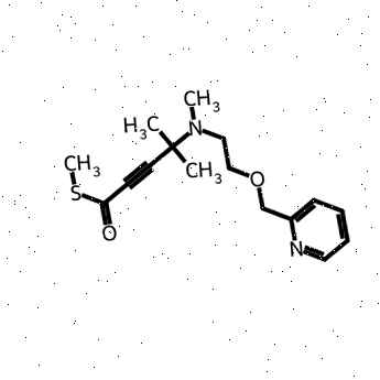 CSC(=O)C#CC(C)(C)N(C)CCOCc1ccccn1